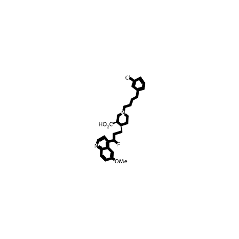 COc1ccc2nccc(C(F)CC[C@@H]3CCN(CCCCc4cccc(Cl)c4)C[C@@H]3C(=O)O)c2c1